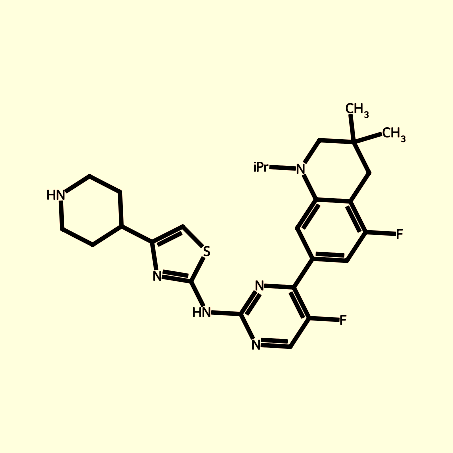 CC(C)N1CC(C)(C)Cc2c(F)cc(-c3nc(Nc4nc(C5CCNCC5)cs4)ncc3F)cc21